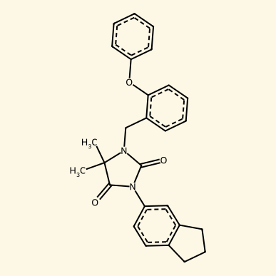 CC1(C)C(=O)N(c2ccc3c(c2)CCC3)C(=O)N1Cc1ccccc1Oc1ccccc1